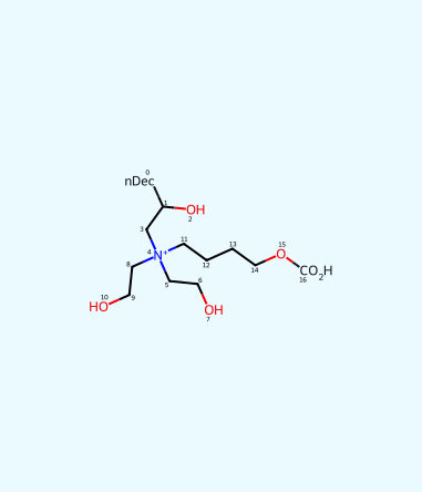 CCCCCCCCCCC(O)C[N+](CCO)(CCO)CCCCOC(=O)O